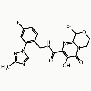 CCC1OCCn2c1nc(C(=O)NCc1ccc(F)cc1-n1cnc(C)n1)c(O)c2=O